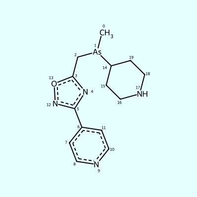 C[As](Cc1nc(-c2ccncc2)no1)C1CCNCC1